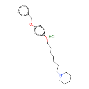 Cl.c1ccc(COc2ccc(OCCCCCCCN3CCCCC3)cc2)cc1